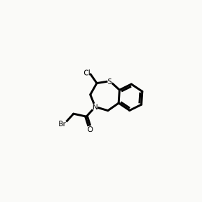 O=C(CBr)N1Cc2ccccc2SC(Cl)C1